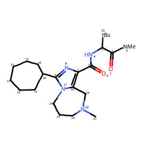 CNC(=O)C(NC(=O)c1nc(C2CCCCCC2)n2c1CN(C)CCC2)C(C)(C)C